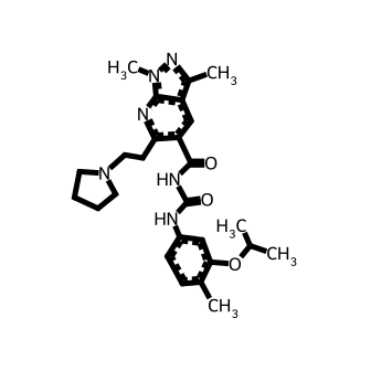 Cc1ccc(NC(=O)NC(=O)c2cc3c(C)nn(C)c3nc2CCN2CCCC2)cc1OC(C)C